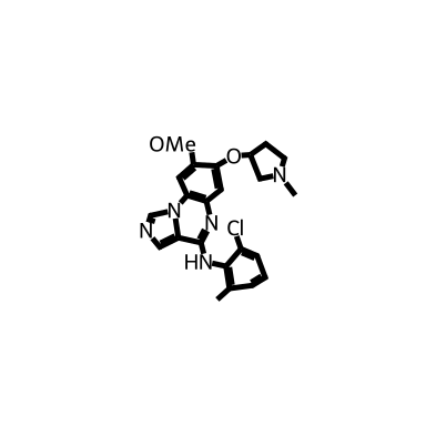 COc1cc2c(cc1OC1CCN(C)C1)nc(Nc1c(C)cccc1Cl)c1cncn12